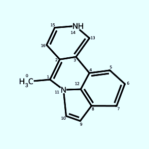 Cc1c2c(c3cccc4ccn1c43)=CNC=C2